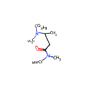 CON(C)C(=O)CC(C)N(C)C(=O)O